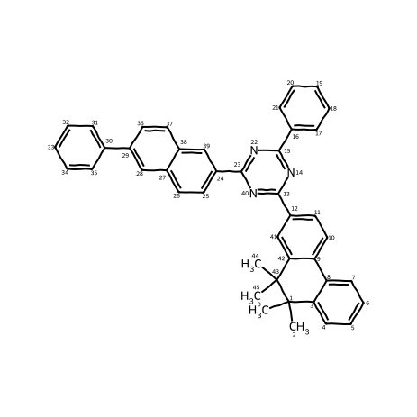 CC1(C)c2ccccc2-c2ccc(-c3nc(-c4ccccc4)nc(-c4ccc5cc(-c6ccccc6)ccc5c4)n3)cc2C1(C)C